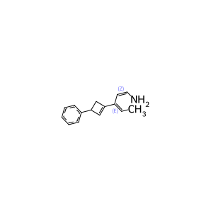 C/C=C(\C=C/N)C1=CC(c2ccccc2)C1